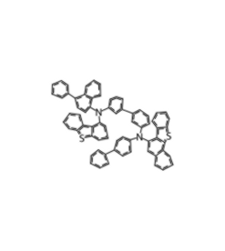 c1ccc(-c2ccc(N(c3cccc(-c4cccc(N(c5ccc(-c6ccccc6)c6ccccc56)c5cccc6sc7ccccc7c56)c4)c3)c3cc4ccccc4c4sc5ccccc5c34)cc2)cc1